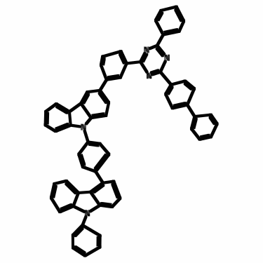 c1ccc(-c2ccc(-c3nc(-c4ccccc4)nc(-c4cccc(-c5ccc6c(c5)c5ccccc5n6-c5ccc(-c6cccc7c6c6ccccc6n7-c6ccccc6)cc5)c4)n3)cc2)cc1